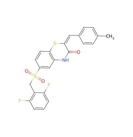 Cc1ccc(/C=C2/Sc3ccc(S(=O)(=O)Cc4c(F)cccc4F)cc3NC2=O)cc1